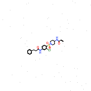 C=CC(=O)NC1CCN(S(=O)(=O)c2ccc(NC(=O)CCc3ccccc3)cc2Cl)CC1